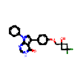 O=c1[nH]cnc2c1c(-c1ccc(OCC3(O)CC(F)(F)C3)cc1)cn2-c1ccccc1